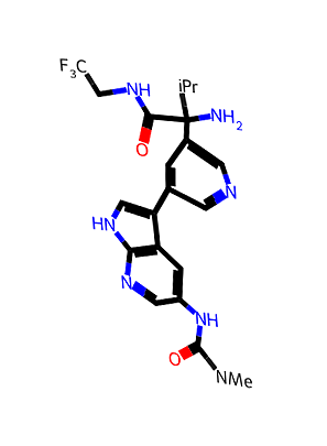 CNC(=O)Nc1cnc2[nH]cc(-c3cncc(C(N)(C(=O)NCC(F)(F)F)C(C)C)c3)c2c1